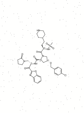 CS(=O)(=O)N[C@H](CCC1CCNCC1)C(=O)N1C[C@H](OCc2ccc(Cl)cc2)C[C@H]1C(=O)N[C@@H](CN1CCCC1=O)C(=O)c1nc2ccccc2o1